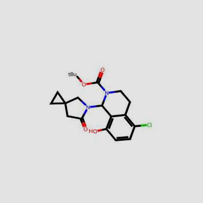 CC(C)(C)OC(=O)N1CCc2c(Cl)ccc(O)c2C1N1CC2(CC2)CC1=O